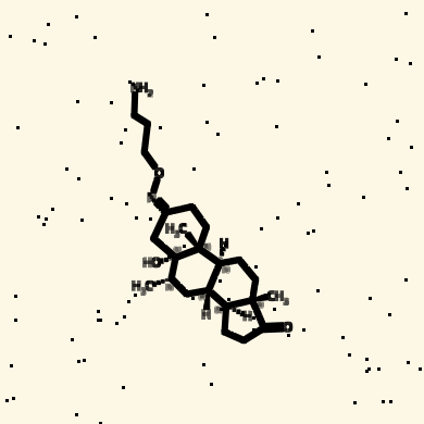 C[C@H]1C[C@H]2[C@@H]3CCC(=O)[C@@]3(C)CC[C@@H]2[C@@]2(C)CCC(=NOCCCN)C[C@]12O